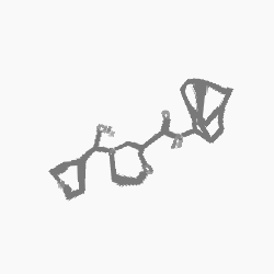 CC(c1ccncc1)N1CCOC(C(=O)NC2C3CC4CC(C3)CC2C4)C1